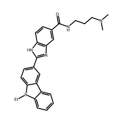 CCn1c2ccccc2c2cc(-c3nc4cc(C(=O)NCCCN(C)C)ccc4[nH]3)ccc21